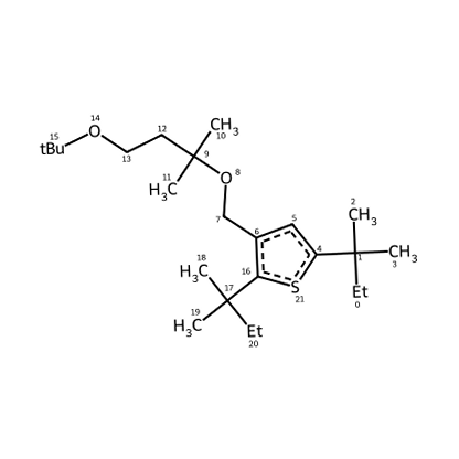 CCC(C)(C)c1cc(COC(C)(C)CCOC(C)(C)C)c(C(C)(C)CC)s1